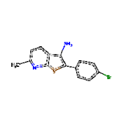 Cc1ccc2c(N)c(-c3ccc(Br)cc3)sc2n1